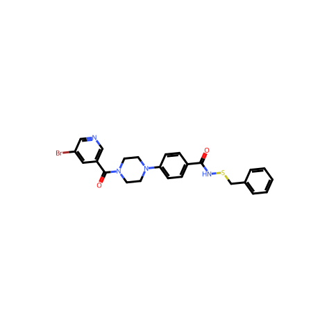 O=C(NSCc1ccccc1)c1ccc(N2CCN(C(=O)c3cncc(Br)c3)CC2)cc1